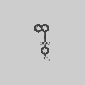 Cc1ccc(S(=O)(=O)C#Cc2cccc3ccccc23)cc1